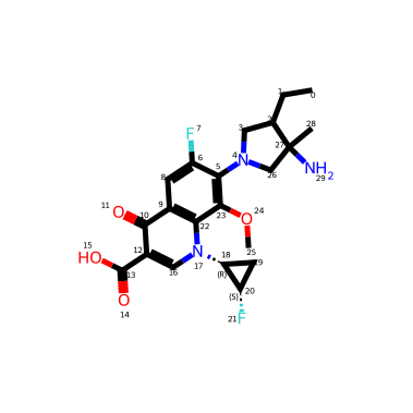 CCC1CN(c2c(F)cc3c(=O)c(C(=O)O)cn([C@@H]4C[C@@H]4F)c3c2OC)CC1(C)N